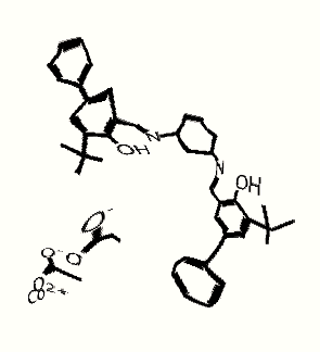 CC(=O)[O-].CC(=O)[O-].CC(C)(C)c1cc(-c2ccccc2)cc(C=NC2CCCC(N=Cc3cc(-c4ccccc4)cc(C(C)(C)C)c3O)C2)c1O.[Co+2]